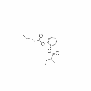 CCCCC(=O)Oc1ccccc1OC(=O)C(C)CC